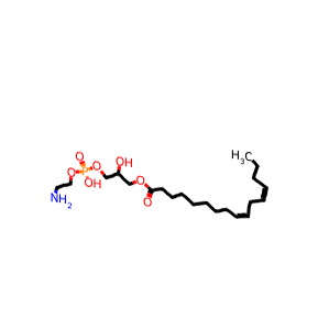 CCC/C=C\C/C=C\CCCCCCCC(=O)OCC(O)COP(=O)(O)OCCN